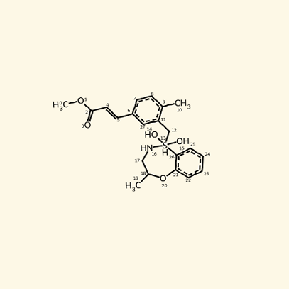 COC(=O)C=Cc1ccc(C)c(C[SH]2(O)(O)NCC(C)Oc3ccccc32)c1